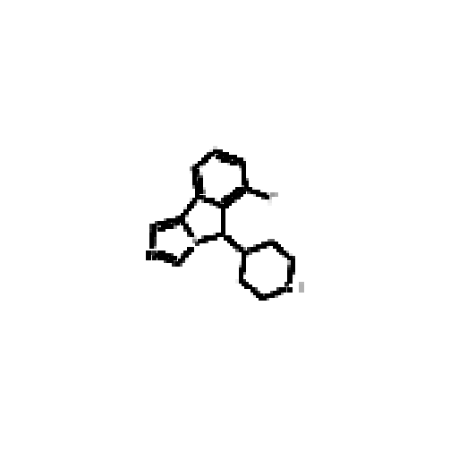 Fc1cccc2c1C(C1CCNCC1)n1cncc1-2